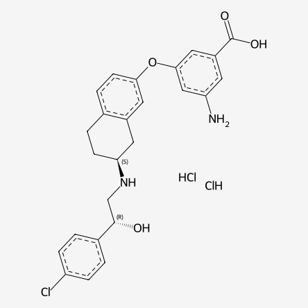 Cl.Cl.Nc1cc(Oc2ccc3c(c2)C[C@@H](NC[C@H](O)c2ccc(Cl)cc2)CC3)cc(C(=O)O)c1